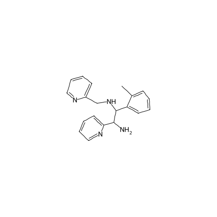 Cc1ccccc1C(NCc1ccccn1)C(N)c1ccccn1